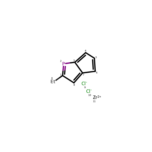 CCC1=PC2=CC=CC2=C1.[Cl-].[Cl-].[Zr+2]